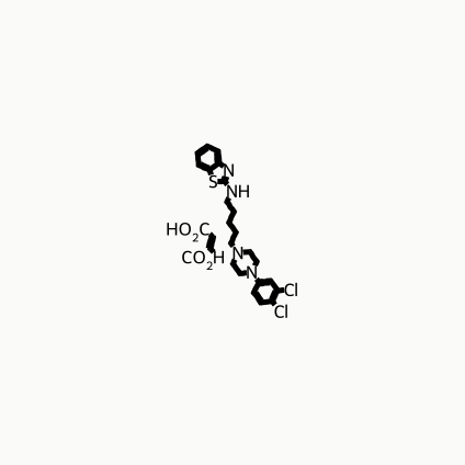 Clc1ccc(N2CCN(CCCCCNc3nc4ccccc4s3)CC2)cc1Cl.O=C(O)C=CC(=O)O